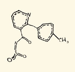 Cc1ccc(-c2ncccc2C(=O)N=S(=O)=O)cc1